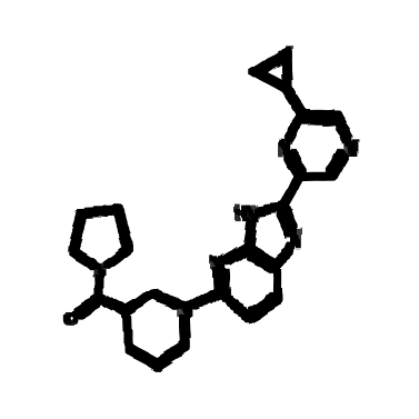 O=C(C1CCCN(c2ccc3nc(-c4cncc(C5CC5)n4)[nH]c3n2)C1)N1CCCC1